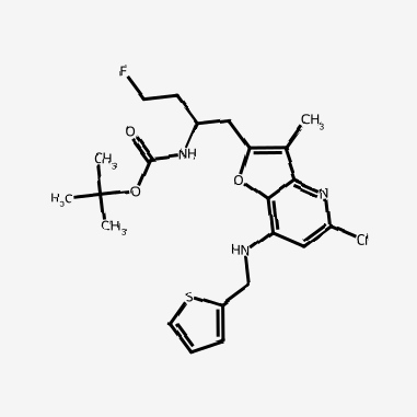 Cc1c(CC(CCF)NC(=O)OC(C)(C)C)oc2c(NCc3cccs3)cc(Cl)nc12